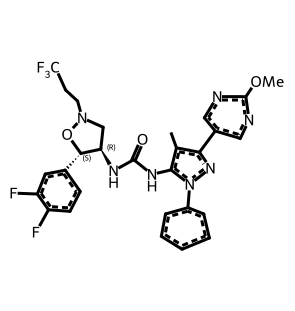 COc1ncc(-c2nn(-c3ccccc3)c(NC(=O)N[C@@H]3CN(CCC(F)(F)F)O[C@H]3c3ccc(F)c(F)c3)c2C)cn1